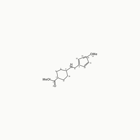 COC(=O)C1CCC(NCc2ccc(OC)cc2)CC1